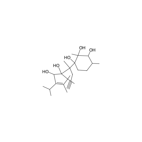 C#CCC(C)(C1(O)CCC(C)C(O)C1(C)O)C1(O)C(O)C(C(C)C)=C(C)C1(C)C